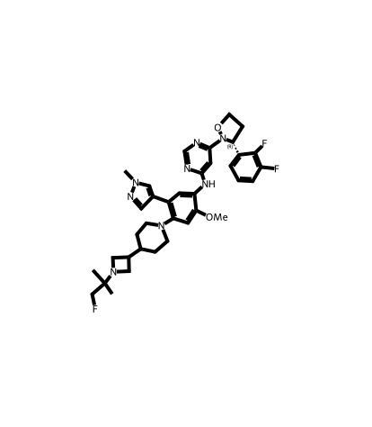 COc1cc(N2CCC(C3CN(C(C)(C)CF)C3)CC2)c(-c2cnn(C)c2)cc1Nc1cc(N2OCC[C@@H]2c2cccc(F)c2F)ncn1